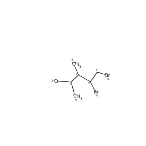 CC([O])C(C)C(Br)CBr